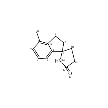 Cc1cccc2c1CCC21CCC(=O)N1